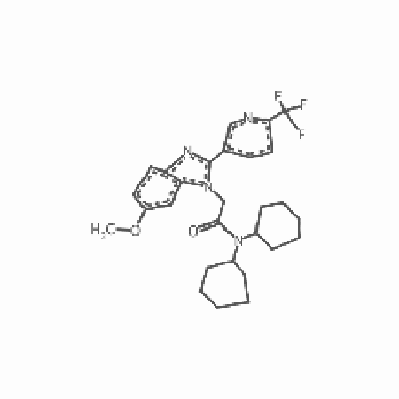 COc1ccc2nc(-c3ccc(C(F)(F)F)nc3)n(CC(=O)N(C3CCCCC3)C3CCCCC3)c2c1